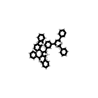 c1ccc(-c2cc(-c3cccc(-c4sc5c(c(-c6ccccc6)nc6ccccc65)c4-c4cccc5c4oc4ccccc45)c3)nc(-c3ccccc3)n2)cc1